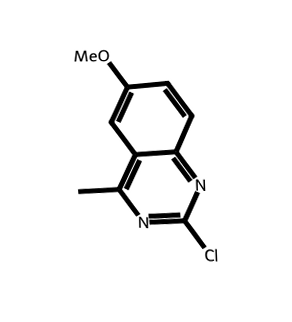 COc1ccc2nc(Cl)nc(C)c2c1